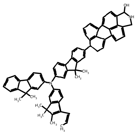 C/C=C\C1=C(C)C(C)(C)c2cc(N(c3ccc4c(c3)C(C)(C)c3ccccc3-4)c3ccc4c(c3)C(C)(C)c3cc(C5CC=c6c7ccc8c9c(ccc(c%10cccc5c6%10)c97)C(O)NC8)ccc3-4)ccc21